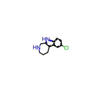 Clc1ccc2[nH]c3c(c2c1)CCCNC3